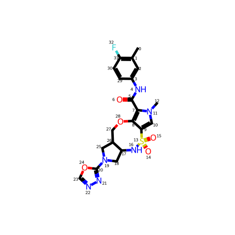 Cc1cc(NC(=O)c2c3c(cn2C)S(=O)(=O)NC2CN(c4nnco4)CC2CO3)ccc1F